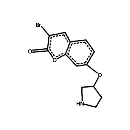 O=c1oc2cc(OC3CCNC3)ccc2cc1Br